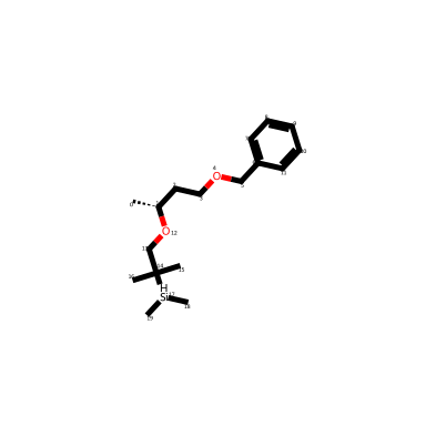 C[C@H](CCOCc1ccccc1)OCC(C)(C)[SiH](C)C